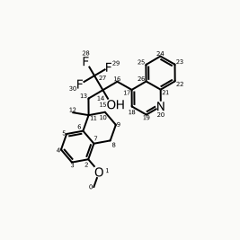 COc1cccc2c1CCCC2(C)CC(O)(Cc1ccnc2ccccc12)C(F)(F)F